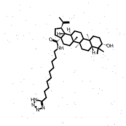 C=C(C)[C@@H]1CC[C@]2(C(=O)NCCCCCCCCCCc3nnn[nH]3)CC[C@]3(C)[C@H](CCC4[C@@]5(C)CC[C@H](O)C(C)(C)[C@@H]5CC[C@]43C)[C@@H]12